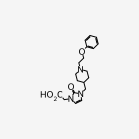 O=C(O)Cn1ccn(CC2CCN(CCOc3ccccc3)CC2)c1=O